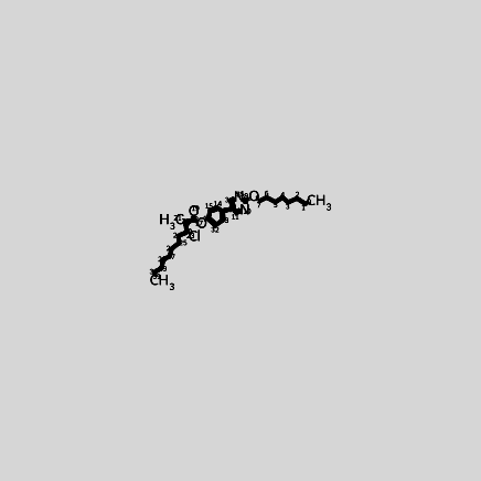 CCCCCCCCOc1ncc(-c2ccc(OC(=O)[C@H](C)[C@H](Cl)CCCCCCCC)cc2)cn1